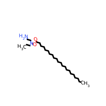 CCCCCCCCCCCCCCCCCCCCCC(=O)ON(CCC)CCN